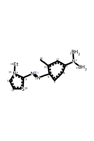 BN(B)c1ccc(/N=N/c2scc[n+]2CC)c(C)c1